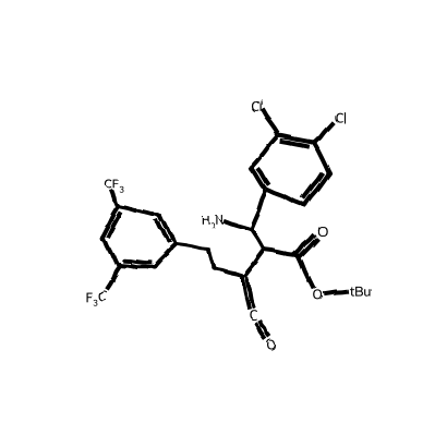 CC(C)(C)OC(=O)C(C(=C=O)CCc1cc(C(F)(F)F)cc(C(F)(F)F)c1)C(N)c1ccc(Cl)c(Cl)c1